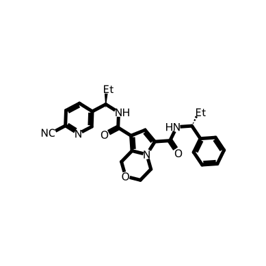 CC[C@@H](NC(=O)c1cc(C(=O)N[C@H](CC)c2ccccc2)n2c1COCC2)c1ccc(C#N)nc1